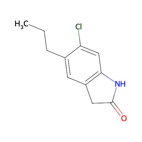 CCCc1cc2c(cc1Cl)NC(=O)C2